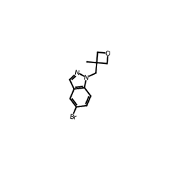 CC1(Cn2ncc3cc(Br)ccc32)COC1